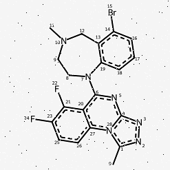 Cc1nnc2nc(N3CCN(C)Cc4c(Br)cccc43)c3c(F)c(F)ccc3n12